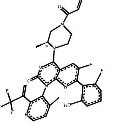 C=CC(=O)N1CCN(c2nc(=O)n(-c3c(C)ccnc3C(=C)C(F)(F)F)c3nc(-c4c(O)cccc4F)c(F)cc23)[C@@H](C)C1